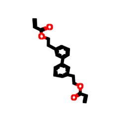 C=CC(=O)OCCc1cccc(-c2cccc(CCOC(=O)C=C)c2)c1